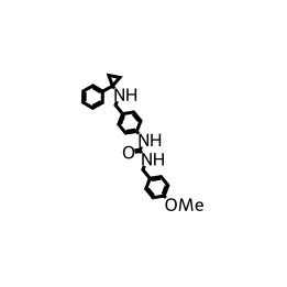 COc1ccc(CNC(=O)Nc2ccc(CNC3(c4ccccc4)CC3)cc2)cc1